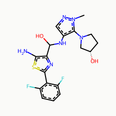 Cn1ncc(NC(O)c2nc(-c3c(F)cccc3F)sc2N)c1N1CC[C@H](O)C1